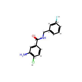 Nc1cc(C(=O)NCc2cccc(F)c2)ccc1Cl